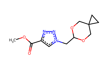 COC(=O)c1cn(CC2OCC3(CC3)CO2)nn1